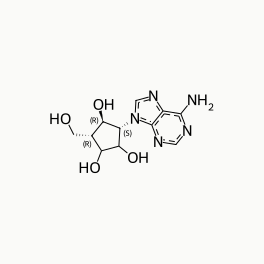 Nc1ncnc2c1ncn2[C@@H]1C(O)C(O)[C@H](CO)[C@H]1O